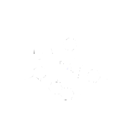 CC[C@@]1(OC(=O)CN/C(Cc2ccc(F)cc2)=N/S(=O)(=O)c2ccc(Cl)cc2)C(=O)OCc2c1cc1n(c2=O)Cc2cc3cc4c(cc3nc2-1)OCO4